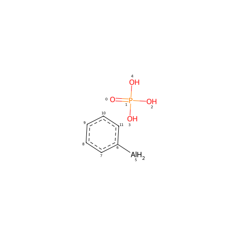 O=P(O)(O)O.[AlH2][c]1ccccc1